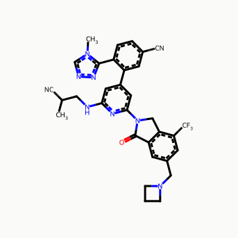 CC(C#N)CNc1cc(-c2cc(C#N)ccc2-c2nncn2C)cc(N2Cc3c(cc(CN4CCC4)cc3C(F)(F)F)C2=O)n1